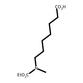 CCOC(=O)N(C)CCCCCCC(=O)O